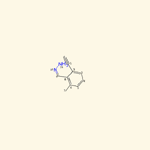 C#Cc1cccc(C)c1/C=N\N